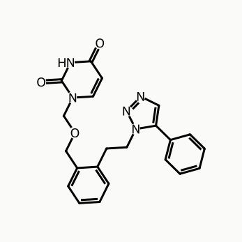 O=c1ccn(COCc2ccccc2CCn2nncc2-c2ccccc2)c(=O)[nH]1